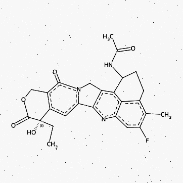 CC[C@@]1(O)C(=O)OCc2c1cc1n(c2=O)Cc2c-1nc1cc(F)c(C)c3c1c2C(NC(C)=O)CC3